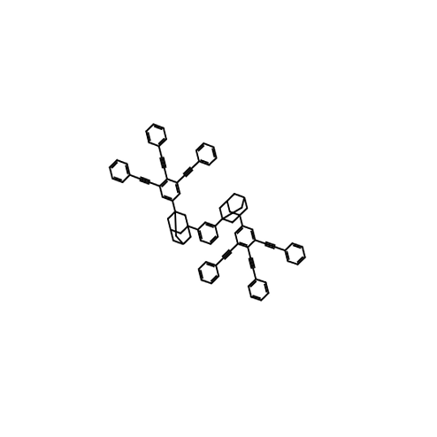 C(#Cc1cc(C23CC4CC(CC(c5cccc(C67CC8CC(C6)CC(c6cc(C#Cc9ccccc9)c(C#Cc9ccccc9)c(C#Cc9ccccc9)c6)(C8)C7)c5)(C4)C2)C3)cc(C#Cc2ccccc2)c1C#Cc1ccccc1)c1ccccc1